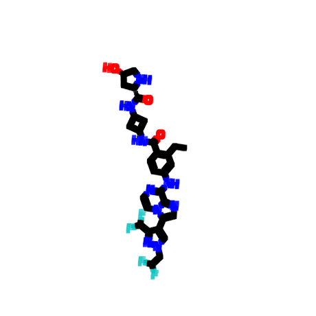 CCc1cc(Nc2nccn3c(-c4cn(CC(F)F)nc4C(F)F)cnc23)ccc1C(=O)NC1CC(NC(=O)[C@@H]2C[C@@H](O)CN2)C1